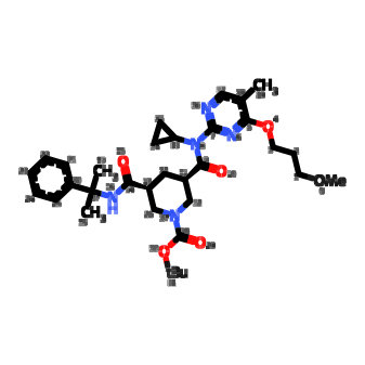 COCCCOc1nc(N(C(=O)[C@@H]2C[C@H](C(=O)NC(C)(C)c3ccccc3)CN(C(=O)OC(C)(C)C)C2)C2CC2)ncc1C